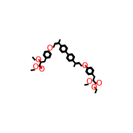 CCOC(=O)C(Cc1ccc(OCC=C(C)c2ccc(-c3ccc(C(C)=CCOc4ccc(CC(OCC)C(=O)OCC)cc4)cc3)cc2)cc1)OCC